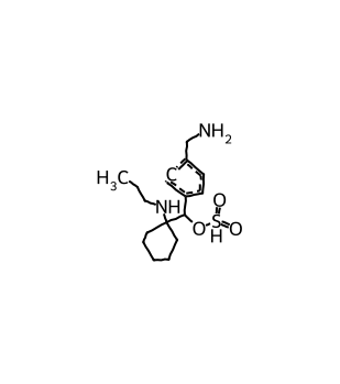 CCCNC1(C(O[SH](=O)=O)c2ccc(CN)cc2)CCCCC1